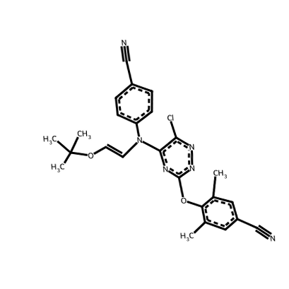 Cc1cc(C#N)cc(C)c1Oc1nnc(Cl)c(N(C=COC(C)(C)C)c2ccc(C#N)cc2)n1